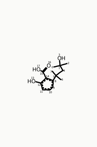 CC(C)(O)CC(C)(C)c1cccc(O)c1C(=O)O